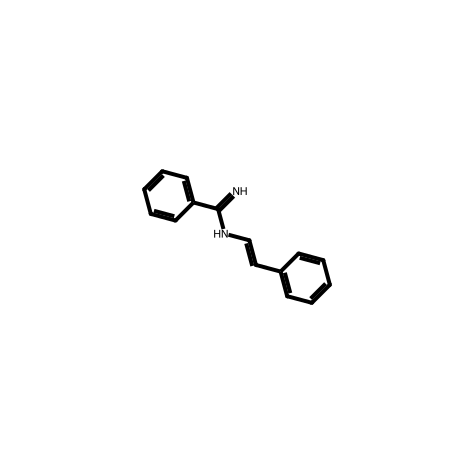 N=C(N/C=C/c1ccccc1)c1ccccc1